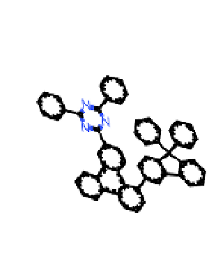 c1ccc(-c2nc(-c3ccccc3)nc(-c3ccc4c(c3)c3ccccc3c3cccc(-c5ccc6c(c5)-c5ccccc5C6(c5ccccc5)c5ccccc5)c34)n2)cc1